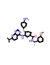 COc1cccc([C@H](C)NC(=O)c2ccc(Sc3ccc(N)cc3)c(Nc3ncnc4nc(C(C)C)ccc34)c2)c1